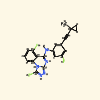 CN(c1cc(F)cc(C#CC2(C(F)(F)F)CC2)c1)c1nc2nnc(F)n2c2cccc(F)c12